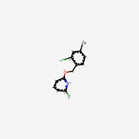 N#Cc1ccc(COc2cccc(Br)n2)c(F)c1